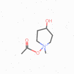 CC(=O)O[N+]1(C)CCC(O)CC1